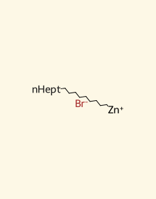 CCCCCCCCCCCCCCC[CH2][Zn+].[Br-]